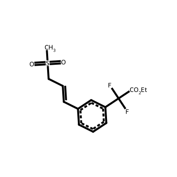 CCOC(=O)C(F)(F)c1cccc(/C=C/CS(C)(=O)=O)c1